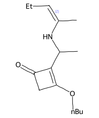 CC/C=C(/C)NC(C)C1=C(OCCCC)CC1=O